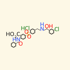 Cl.O=C(Nc1ccc(S(=O)(=O)c2ccc(CCNC[C@H](O)c3cccc(Cl)c3)cc2)cc1C(=O)O)c1ccccc1